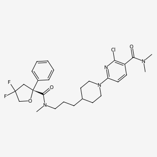 CN(C)C(=O)c1ccc(N2CCC(CCCN(C)C(=O)[C@]3(c4ccccc4)CC(F)(F)CO3)CC2)nc1Cl